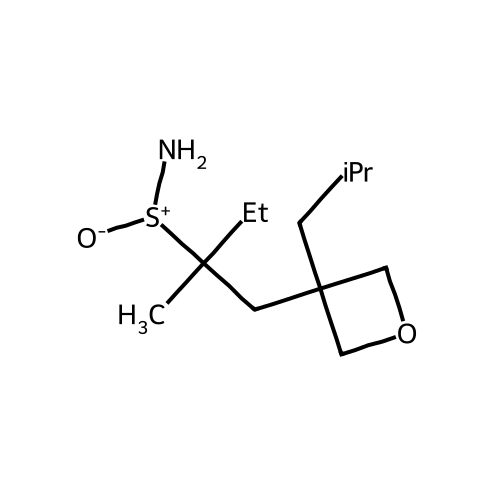 CCC(C)(CC1(CC(C)C)COC1)[S+](N)[O-]